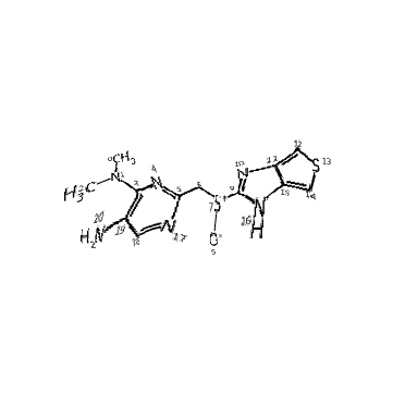 CN(C)c1nc(C[S+]([O-])c2nc3cscc3[nH]2)ncc1N